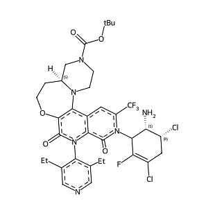 CCc1cncc(CC)c1-n1c(=O)c2c(c3cc(C(F)(F)F)n(C4C(F)=C(Cl)C[C@@H](Cl)[C@H]4N)c(=O)c31)N1CCN(C(=O)OC(C)(C)C)C[C@@H]1CCO2